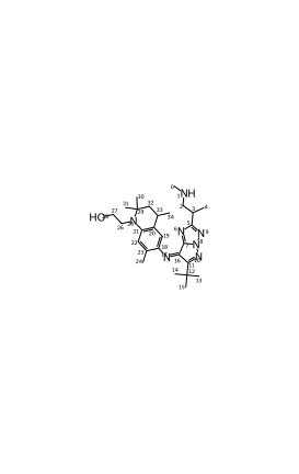 CNCC(C)c1nc2n(n1)N=C(C(C)(C)C)/C2=N/c1cc2c(cc1C)N(CCO)C(C)(C)CC2C